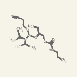 CCCNC(=O)OCC(CO)OP(OCCC#N)N(C(C)C)C(C)C